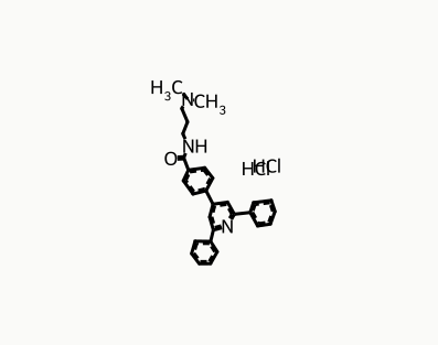 CN(C)CCCNC(=O)c1ccc(-c2cc(-c3ccccc3)nc(-c3ccccc3)c2)cc1.Cl.Cl